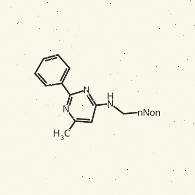 CCCCCCCCCCNc1cc(C)nc(-c2ccccc2)n1